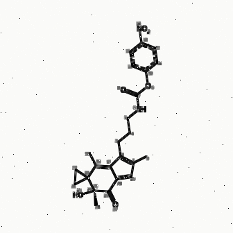 CC1=C(CCCNC(=O)Oc2ccc([N+](=O)[O-])cc2)C2=C(C)C3(CC3)[C@@](C)(O)C(=O)C2=C1